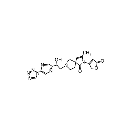 CC1=CC2(CCN(CC(O)c3cnc(-n4cnnn4)cn3)CC2)C(=O)N1C1=CC(=O)OC1